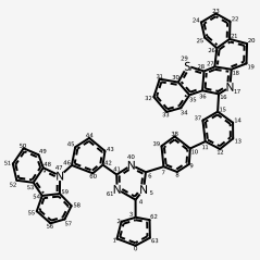 c1ccc(-c2nc(-c3ccc(-c4cccc(-c5nc6ccc7ccccc7c6c6sc7ccccc7c56)c4)cc3)nc(-c3cccc(-n4c5ccccc5c5ccccc54)c3)n2)cc1